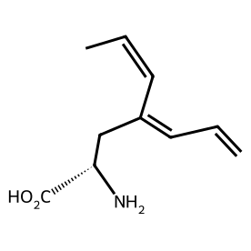 C=C/C=C(\C=C/C)C[C@H](N)C(=O)O